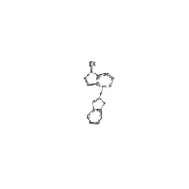 CCC1C=Cc2c(C3=Cc4ccccc4C3)cccc21